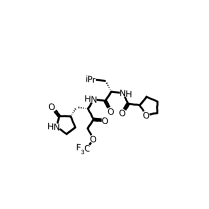 CC(C)C[C@H](NC(=O)C1CCCO1)C(=O)N[C@@H](C[C@@H]1CCNC1=O)C(=O)COC(F)(F)F